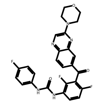 O=C(Nc1ccc(F)cc1)Nc1ccc(F)c(C(=O)c2ccc3ncc(N4CCOCC4)nc3c2)c1F